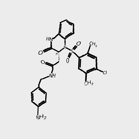 Cc1cc(S(=O)(=O)N2c3ccccc3NC(=O)[C@H]2CC(=O)NCc2ccc(N)cc2)c(C)cc1Cl